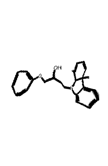 CC12C=CC=CC1N(CC(O)COc1ccccc1)c1ccccc12